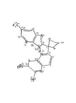 [2H]C1=Nc2ccc(C3(c4nc5cc(C(F)(F)F)cnc5[nH]4)CCC3)nc2CC1C(C)(C)C